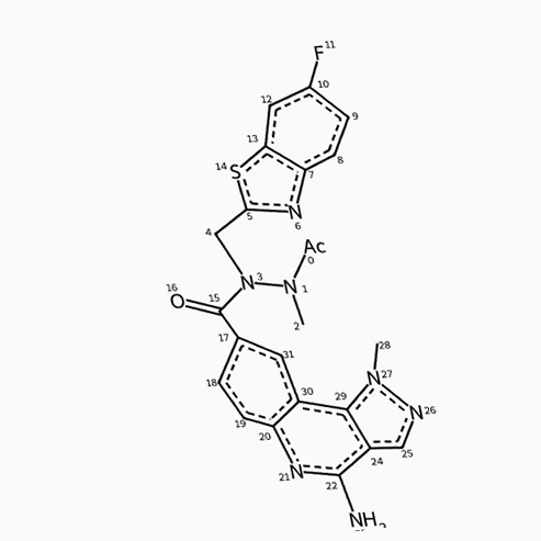 CC(=O)N(C)N(Cc1nc2ccc(F)cc2s1)C(=O)c1ccc2nc(N)c3cnn(C)c3c2c1